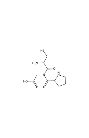 NC(CS)C(=O)N(CC(=O)O)C(=O)C1CCCN1